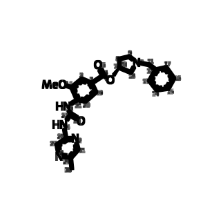 COc1cc(C(=O)O[C@H]2CCN(Cc3ccccc3)C2)ccc1NC(=O)Nc1cnc(C)cn1